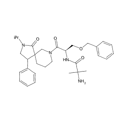 CC(C)N1CC(c2ccccc2)C2(CCCN(C(=O)[C@@H](COCc3ccccc3)NC(=O)C(C)(C)N)C2)C1=O